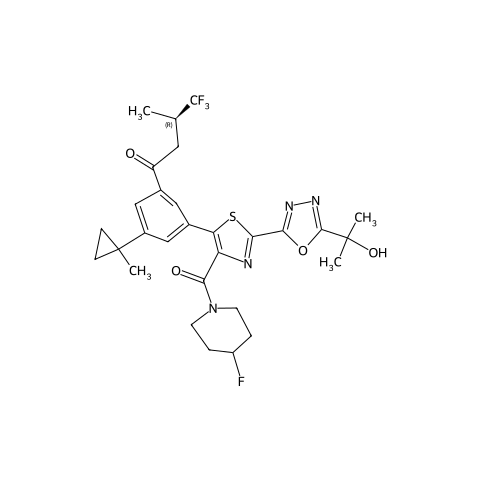 C[C@H](CC(=O)c1cc(-c2sc(-c3nnc(C(C)(C)O)o3)nc2C(=O)N2CCC(F)CC2)cc(C2(C)CC2)c1)C(F)(F)F